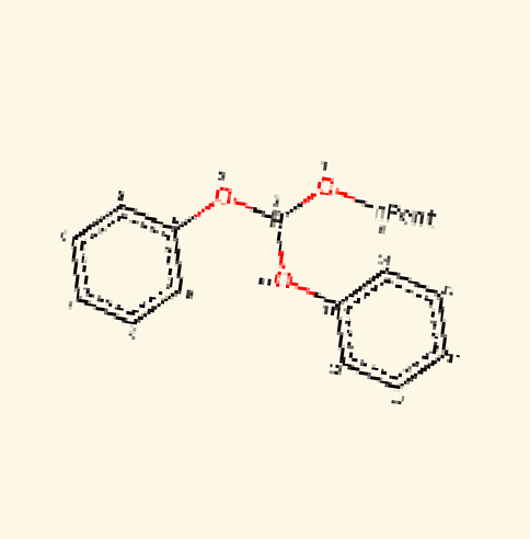 CCCCCOB(Oc1ccccc1)Oc1ccccc1